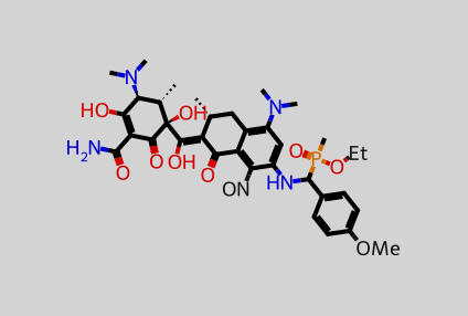 CCOP(C)(=O)C(Nc1cc(N(C)C)c2c(c1N=O)C(=O)/C(=C(\O)[C@]1(O)C(=O)C(C(N)=O)=C(O)[C@@H](N(C)C)[C@@H]1C)[C@H](C)C2)c1ccc(OC)cc1